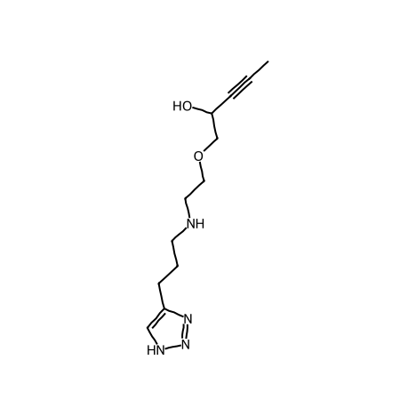 CC#CC(O)COCCNCCCc1c[nH]nn1